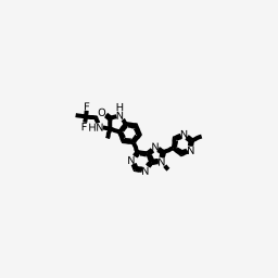 Cc1ncc(-c2nc3c(-c4ccc5c(c4)C(C)(NCC(C)(F)F)C(=O)N5)ncnc3n2C)cn1